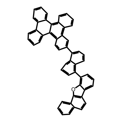 c1ccc2c(c1)ccc1c3cccc(-c4cccc5c(-c6ccc7c(c6)c6ccccc6c6c8ccccc8c8ccccc8c76)cccc45)c3oc21